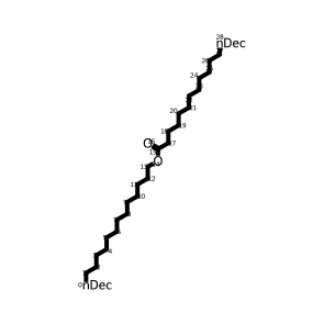 CCCCCCCCCCCCCCCCCCCCCCCOC(=O)CCCCCCCCCCCCCCCCCCCCC